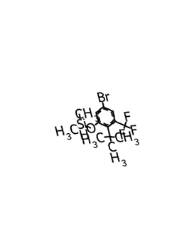 C[SiH](C)Oc1cc(Br)cc(C(F)(F)F)c1C(C)(C)C